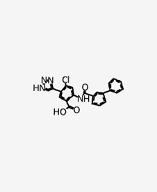 O=C(Nc1cc(Cl)c(-c2c[nH]nn2)cc1C(=O)O)c1cccc(-c2ccccc2)c1